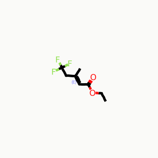 CCOC(=O)/C=C(\C)CC(F)(F)F